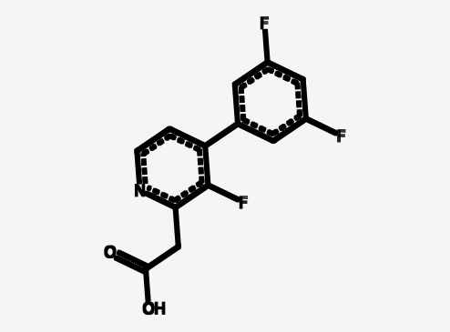 O=C(O)Cc1nccc(-c2cc(F)cc(F)c2)c1F